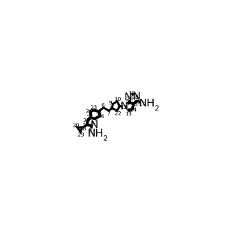 Nc1nc2cc(CCC3CCC(n4ccc5c(N)ncnc54)C3)ccc2cc1C1CC1